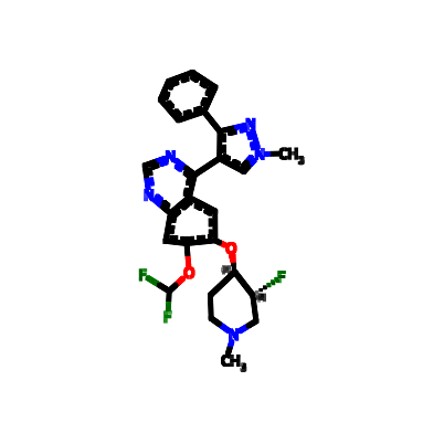 CN1CC[C@@H](Oc2cc3c(-c4cn(C)nc4-c4ccccc4)ncnc3cc2OC(F)F)[C@H](F)C1